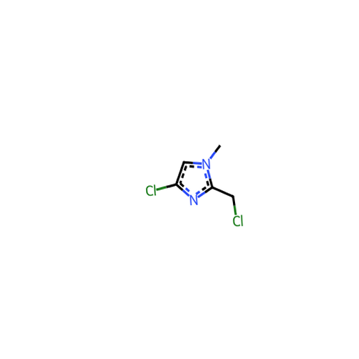 Cn1cc(Cl)nc1CCl